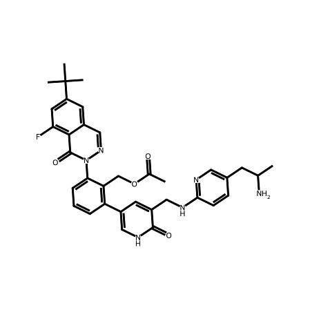 CC(=O)OCc1c(-c2c[nH]c(=O)c(CNc3ccc(CC(C)N)cn3)c2)cccc1-n1ncc2cc(C(C)(C)C)cc(F)c2c1=O